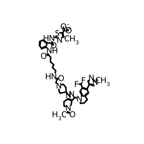 CC(=O)N1CCc2c(c(N3CCCc4cc(-c5cnn(C)c5)c(C(F)F)cc43)nn2C2CCN(CC(=O)NCCCCCC(=O)Nc3ccccc3C(=O)Nc3nc(C)c([N+](=O)[O-])s3)CC2)C1